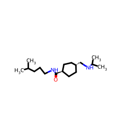 CC(C)CCCNC(=O)[C@H]1CC[C@H](CNC(C)C)CC1